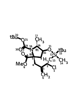 C=C(CCl)C[C@]1(C(=O)OC)CC(O[Si](C)(C)C(C)(C)C)[C@@H](C)N1C(=O)OC(C)(C)C